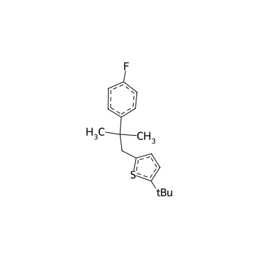 CC(C)(C)c1ccc(CC(C)(C)c2ccc(F)cc2)s1